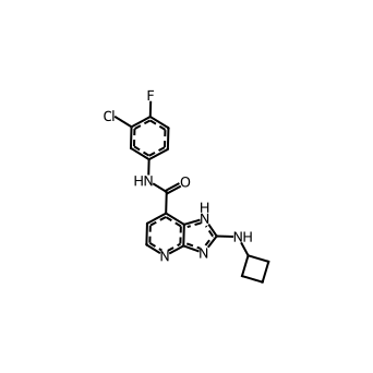 O=C(Nc1ccc(F)c(Cl)c1)c1ccnc2nc(NC3CCC3)[nH]c12